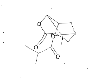 CC(C)C(=O)OC1(C)C2CC3C(=O)OC1C3C2